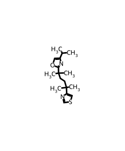 CC(C)c1coc(C(C)(C)CCC(C)(C)c2cscn2)n1